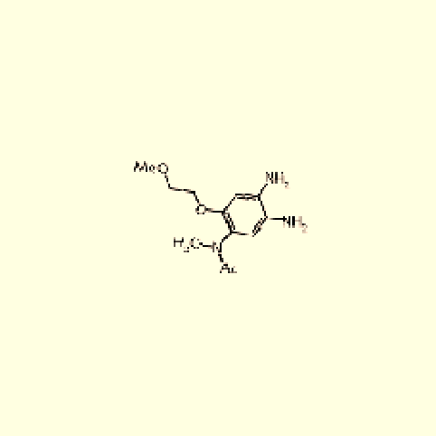 COCCOc1cc(N)c(N)cc1N(C)C(C)=O